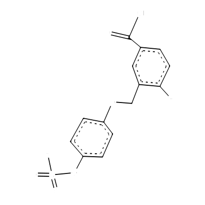 O=C(O)c1ccc(F)c(COc2ccc(OS(=O)(=O)F)cc2)c1